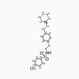 O=S(=O)(NCCc1ccc(CCN2CCCCC2)cc1)c1ccc(Cl)cc1